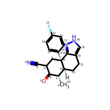 C[C@@H]1C(=O)C(C#N)C[C@@]2(c3ccc(F)cc3)c3n[nH]cc3CC[C@@H]12